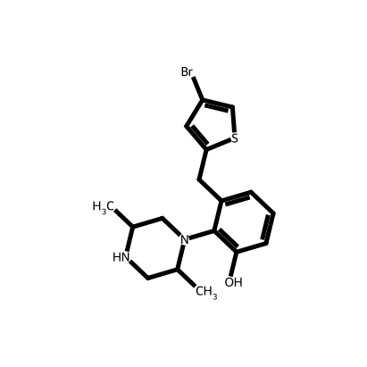 CC1CN(c2c(O)cccc2Cc2cc(Br)cs2)C(C)CN1